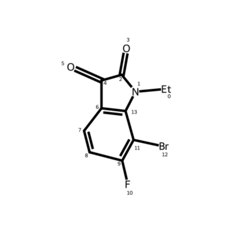 CCN1C(=O)C(=O)c2ccc(F)c(Br)c21